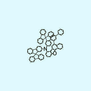 c1ccc(-c2cccc(-c3cc4c(oc5cccc(N(c6ccc7c(c6)C6(c8ccccc8-c8ccccc86)c6ccccc6-7)c6ccc7c(c6)C6(c8ccccc8-c8ccccc86)c6ccccc6-7)c54)c4ccccc34)c2)cc1